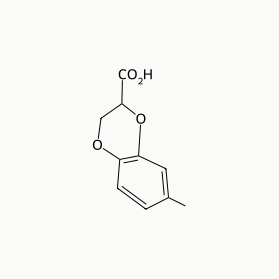 Cc1ccc2c(c1)OC(C(=O)O)CO2